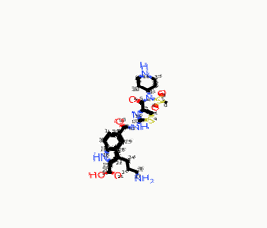 CS(=O)(=O)N(C(=O)c1csc(NC(=O)c2ccc3[nH]c(C(=O)O)c(CCCN)c3c2)n1)C1CCNCC1